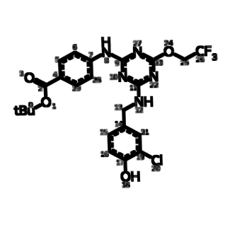 CC(C)(C)OC(=O)c1ccc(Nc2nc(NCc3ccc(O)c(Cl)c3)nc(OCC(F)(F)F)n2)cc1